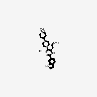 CSCC[C@@H](NC(=O)c1ccc2cc[nH]c2c1)C(=O)N1CCN(C2CCN(C)CC2)CC1.Cl